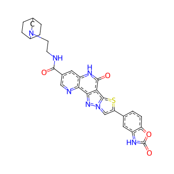 O=C(NCCN1CC2CCC1CC2)c1cnc2c(c1)[nH]c(=O)c1c2nn2cc(-c3ccc4oc(=O)[nH]c4c3)sc12